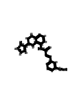 CCCCCc1cccc(/C=C/C(=S)Nc2cccc3c2OC(c2nnn[nH]2)CO3)c1